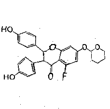 O=C1c2c(F)cc(OC3CCCCO3)cc2OC(c2ccc(O)cc2)C1c1ccc(O)cc1